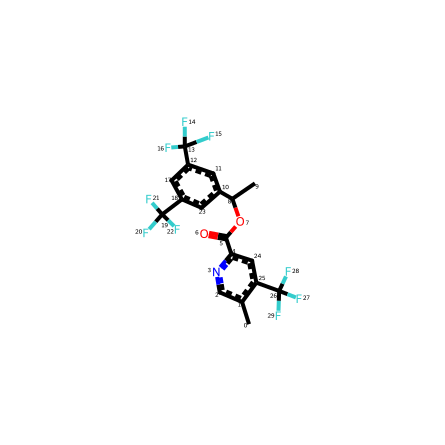 Cc1cnc(C(=O)OC(C)c2cc(C(F)(F)F)cc(C(F)(F)F)c2)cc1C(F)(F)F